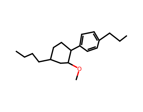 CCCCC1CCC(c2ccc(CCC)cc2)C(OC)C1